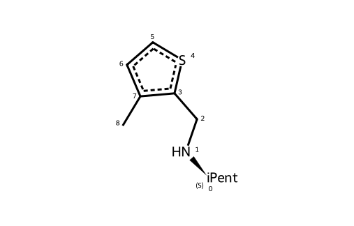 CCC[C@H](C)NCc1sccc1C